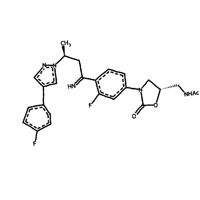 CC(=O)NC[C@H]1CN(c2ccc(C(=N)C[C@H](C)n3cc(-c4ccc(F)cc4)cn3)c(F)c2)C(=O)O1